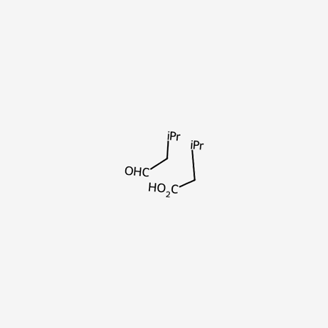 CC(C)CC(=O)O.CC(C)CC=O